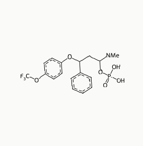 CNC(CC(Oc1ccc(OC(F)(F)F)cc1)c1ccccc1)OP(=O)(O)O